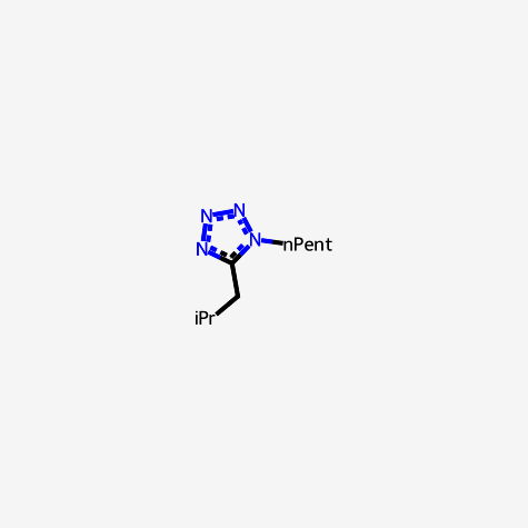 CCCCCn1nnnc1CC(C)C